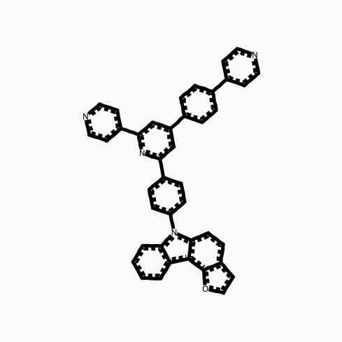 c1ccc2c(c1)c1c3occc3ccc1n2-c1ccc(-c2cc(-c3ccc(-c4ccncc4)cc3)cc(-c3ccncc3)n2)cc1